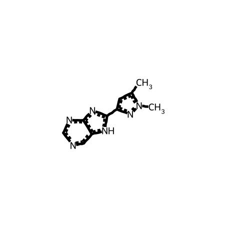 Cc1cc(-c2nc3ncncc3[nH]2)nn1C